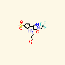 COCCCNc1c(-c2ccc(S(C)(=O)=O)cc2)cnn(CC(F)(F)F)c1=O